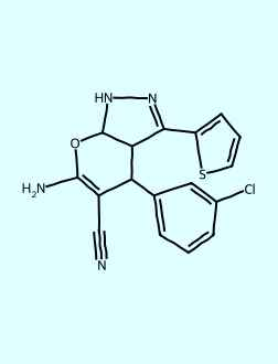 N#CC1=C(N)OC2NN=C(c3cccs3)C2C1c1cccc(Cl)c1